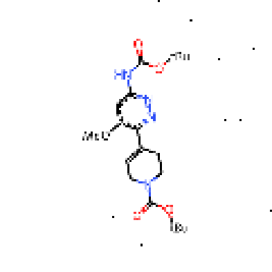 COc1cc(NC(=O)OC(C)(C)C)nnc1C1=CCN(C(=O)OC(C)(C)C)CC1